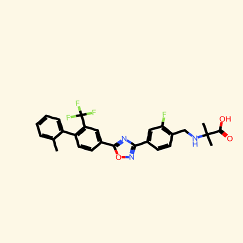 Cc1ccccc1-c1ccc(-c2nc(-c3ccc(CNC(C)(C)C(=O)O)c(F)c3)no2)cc1C(F)(F)F